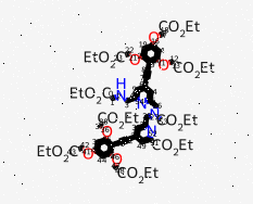 CCOC(=O)CNCc1cc(C#Cc2c(OCC(=O)OCC)cc(OCC(=O)OCC)cc2OCC(=O)OCC)cc(CN(Cc2cc(C#Cc3c(OCC(=O)OCC)cc(OCC(=O)OCC)cc3OCC(=O)OCC)cc(C(=O)OCC)n2)C(=O)OCC)n1